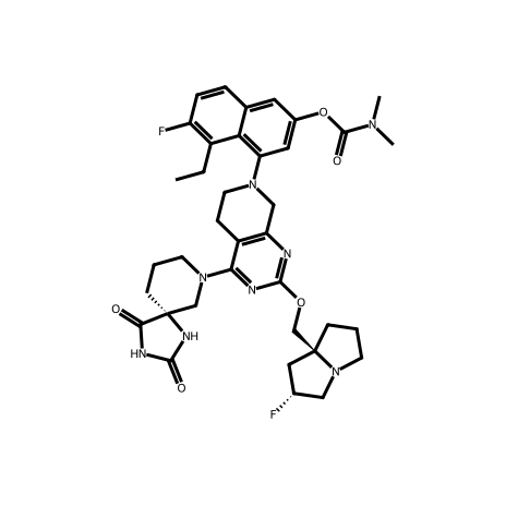 CCc1c(F)ccc2cc(OC(=O)N(C)C)cc(N3CCc4c(nc(OC[C@@]56CCCN5C[C@H](F)C6)nc4N4CCC[C@]5(C4)NC(=O)NC5=O)C3)c12